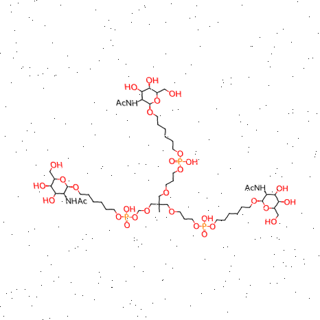 CC(=O)NC1C(O)[C@@H](O)C(CO)O[C@H]1OCCCCCCOP(=O)(O)OCCCOCC(C)(COCCCOP(=O)(O)OCCCCCCO[C@@H]1OC(CO)[C@H](O)C(O)[C@@H]1NC(C)=O)COCOP(=O)(O)OCCCCCCO[C@@H]1OC(CO)[C@H](O)C(O)[C@@H]1NC(C)=O